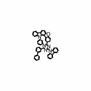 C1=c2oc3ccc4c5ccccc5n(-c5ccccc5)c4c3c2=CC(c2nc(-c3cccc(-c4ccccc4)c3)nc(-n3c4ccccc4c4ccccc43)n2)C1